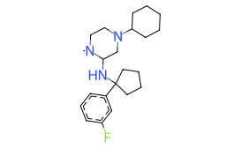 Fc1cccc(C2(NC3CN(C4CCCCC4)CC[N]3)CCCC2)c1